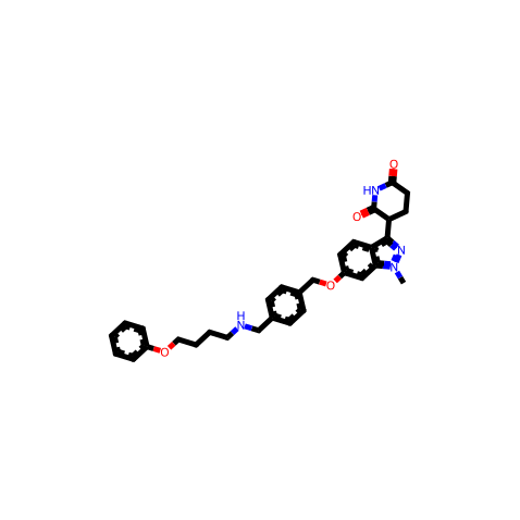 Cn1nc(C2CCC(=O)NC2=O)c2ccc(OCc3ccc(CNCCCCOc4ccccc4)cc3)cc21